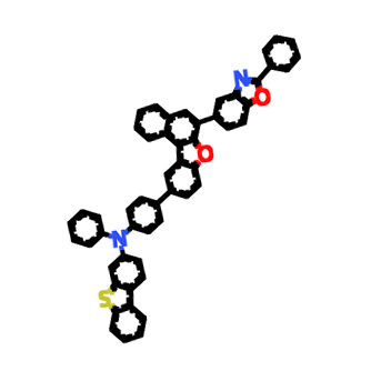 c1ccc(-c2nc3cc(-c4cc5ccccc5c5c4oc4ccc(-c6ccc(N(c7ccccc7)c7ccc8c(c7)sc7ccccc78)cc6)cc45)ccc3o2)cc1